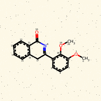 COc1cccc(C2=NC(=O)c3ccccc3C2)c1OC